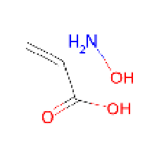 C=CC(=O)O.NO